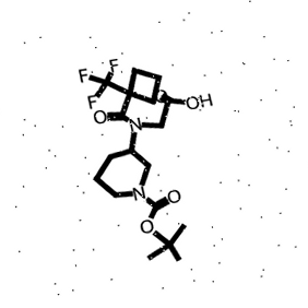 CC(C)(C)OC(=O)N1CCCC(N(CC(=O)O)C(=O)C2(C(F)(F)F)CCC2)C1